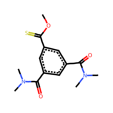 COC(=S)c1cc(C(=O)N(C)C)cc(C(=O)N(C)C)c1